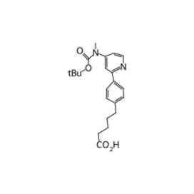 CN(C(=O)OC(C)(C)C)c1ccnc(-c2ccc(CCCCC(=O)O)cc2)c1